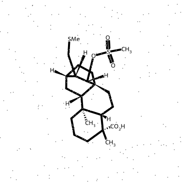 CSC[C@H]1[C@H]2CC[C@@]3(CC[C@H]4[C@@](C)(CCC[C@@]4(C)C(=O)O)[C@@H]3C2)[C@H]1OS(C)(=O)=O